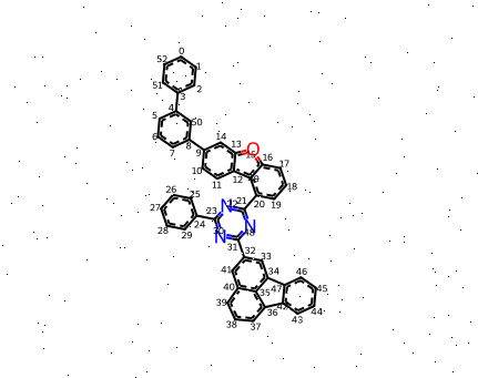 c1ccc(-c2cccc(-c3ccc4c(c3)oc3cccc(-c5nc(-c6ccccc6)nc(-c6cc7c8c(cccc8c6)-c6ccccc6-7)n5)c34)c2)cc1